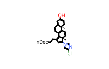 CCCCCCCCCCCCC1=C2C3=C(C=C[C@]2(C)C(n2cnc(Cl)c2)=C1)[C@]1(C)CC=C(O)C=C1C=C3